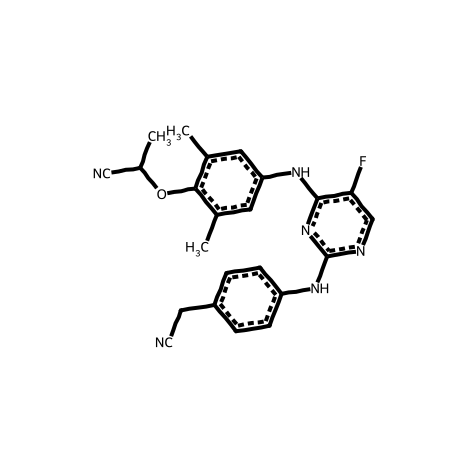 Cc1cc(Nc2nc(Nc3ccc(CC#N)cc3)ncc2F)cc(C)c1OC(C)C#N